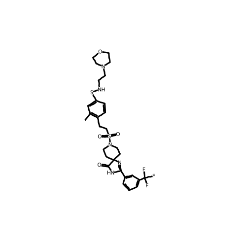 Cc1cc(SNCCN2CCOCC2)ccc1CCS(=O)(=O)N1CCC2(CC1)N=C(c1cccc(C(F)(F)F)c1)NC2=O